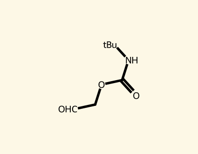 CC(C)(C)NC(=O)OCC=O